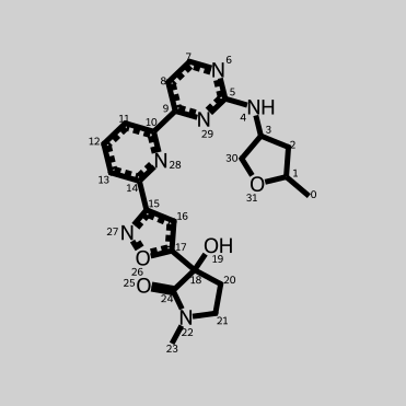 CC1CC(Nc2nccc(-c3cccc(-c4cc(C5(O)CCN(C)C5=O)on4)n3)n2)CO1